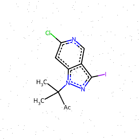 CC(=O)C(C)(C)n1nc(I)c2cnc(Cl)cc21